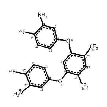 Nc1cc(Oc2cc(Oc3ccc(F)c(N)c3)c(C(F)(F)F)cc2C(F)(F)F)ccc1F